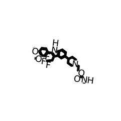 CNC(=O)OCCN1CCC(c2ccc3[nH]c(-c4ccc(OC)c(OC)c4)c(CC(F)(F)F)c3c2)CC1